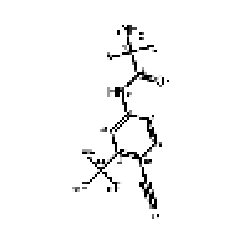 CC(C)(N)C(=O)Nc1ccc(C#N)c(C(F)(F)F)c1